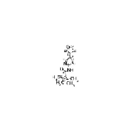 CC1(C)C(C(=O)Nc2ccc(C3=COCC3)cn2)C1(C)C